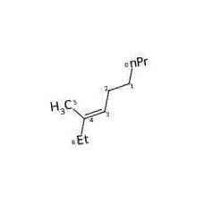 [CH2]CCCCC=C(C)CC